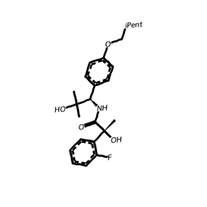 CCCC(C)COc1ccc([C@@H](NC(=O)[C@](C)(O)c2ccccc2F)C(C)(C)O)cc1